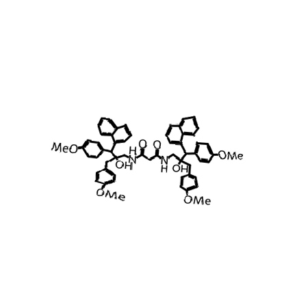 COc1ccc(CC(O)(CNC(=O)CC(=O)NCC(O)(Cc2ccc(OC)cc2)C(c2ccc(OC)cc2)c2cccc3ccccc23)C(c2ccc(OC)cc2)c2cccc3ccccc23)cc1